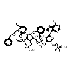 CO[C@@H]1[C@H](O[Si](C)(C)C(C)(C)C)[C@@H](COP(=O)(OCc2ccccc2C(F)(F)F)O[C@H]2[C@@H](OC)[C@H](n3cnc4c(Cl)ncnc43)O[C@@H]2CO[Si](C)(C)C(C)(C)C)O[C@H]1n1ccc(=O)n(COCc2ccccc2)c1=O